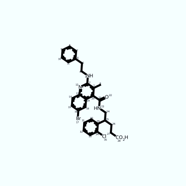 Cc1c(NCCc2ccccc2)nc2ccc(Br)cc2c1C(=O)NCC(CCC(=O)O)c1ccccc1Cl